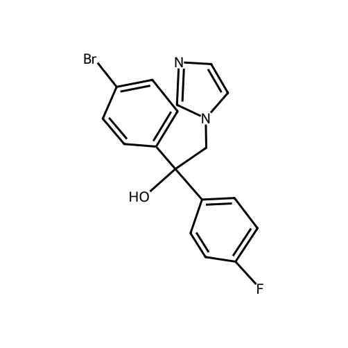 OC(Cn1ccnc1)(c1ccc(F)cc1)c1ccc(Br)cc1